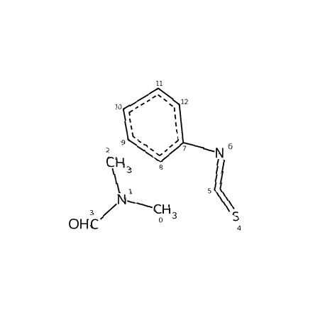 CN(C)C=O.S=C=Nc1ccccc1